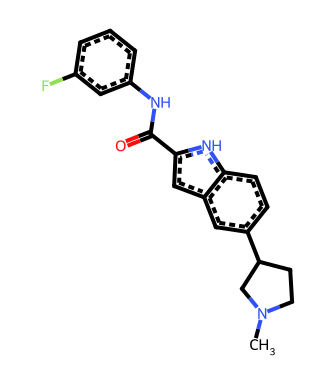 CN1CCC(c2ccc3[nH]c(C(=O)Nc4cccc(F)c4)cc3c2)C1